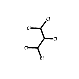 CCC(Cl)C(Cl)C(Cl)Cl